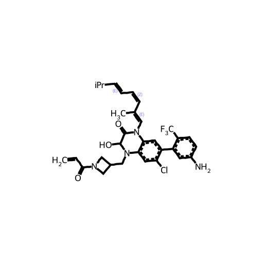 C=CC(=O)N1CC(CN2c3cc(Cl)c(-c4cc(N)ccc4C(F)(F)F)cc3N(/C=C(C)/C=C\C=C\C(C)C)C(=O)C2O)C1